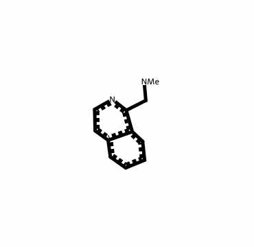 CNCc1nccc2ccccc12